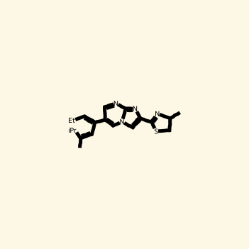 CC/C=C(\C=C(\C)C(C)C)c1cnc2nc(C3=NC(C)CS3)cn2c1